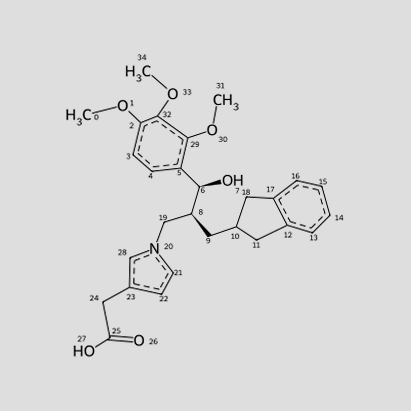 COc1ccc([C@@H](O)[C@@H](CC2Cc3ccccc3C2)Cn2ccc(CC(=O)O)c2)c(OC)c1OC